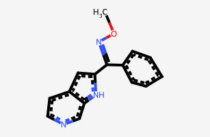 CON=C(c1ccccc1)c1cc2ccncc2[nH]1